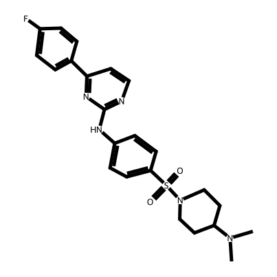 CN(C)C1CCN(S(=O)(=O)c2ccc(Nc3nccc(-c4ccc(F)cc4)n3)cc2)CC1